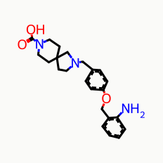 Nc1ccccc1COc1ccc(CN2CCC3(CCN(C(=O)O)CC3)C2)cc1